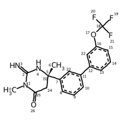 CN1C(=N)N[C@](C)(c2cccc(-c3cccc(OC(F)(F)F)c3)c2)CC1=O